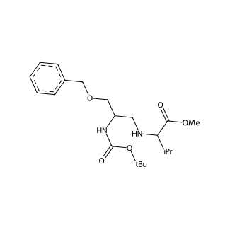 COC(=O)C(NCC(COCc1ccccc1)NC(=O)OC(C)(C)C)C(C)C